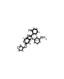 N[C@H]1CCC[C@@H](n2c(-c3ccccc3F)nc3cnc(O[C@H]4CCOC4)cc32)C1